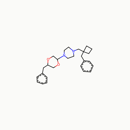 c1ccc(CC2COC(N3CCN(CC4(Cc5ccccc5)CCC4)CC3)CO2)cc1